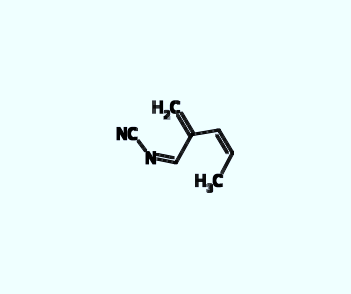 C=C(/C=C\C)/C=N\C#N